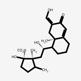 CC1CC[C@](O)(C(=O)O)[C@@]1(C)C[C@H](O)C1CCCC2=CC(=O)/C(=C\O)C[C@@]21C